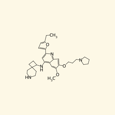 CCc1ccc(-c2cc(NC3CCC34CCNCC4)c3cc(OC)c(OCCCN4CCCC4)cc3n2)o1